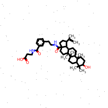 C=C(C)C1CCC2(C(=O)NCCc3cccc(C(=O)NCCC(=O)O)c3)CC[C@]3(C)C(CCC4C5(C)CCC(O)C(C)(C)C5CCC43C)C12